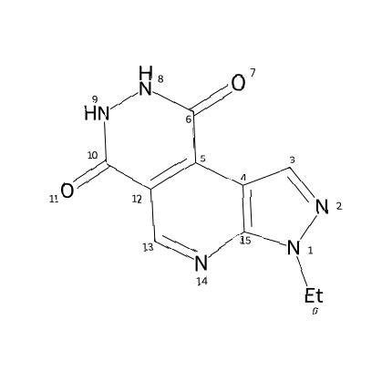 CCn1ncc2c3c(=O)[nH][nH]c(=O)c3cnc21